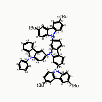 CC(C)(C)c1ccc2c(c1)c1cc(C(C)(C)C)ccc1n2-c1ccc2c3ccc(-n4c5ccc(C(C)(C)C)cc5c5cc(C(C)(C)C)ccc54)cc3n(-c3ccc4c(c3)c3ccccc3n4-c3ccccc3)c2c1